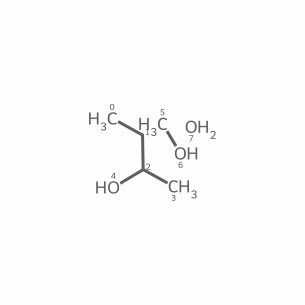 CCC(C)O.CO.O